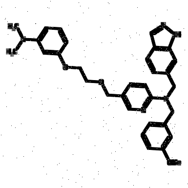 COc1cccc(CN(Cc2ccc3cn[nH]c3c2)c2ccc(COCCOc3cccc(N(C)C)c3)cn2)c1